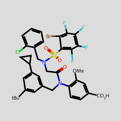 COc1cc(C(=O)O)ccc1N(Cc1cc(C2CC2)cc(C(C)(C)C)c1)C(=O)CN(Cc1ccccc1Cl)S(=O)(=O)c1c(F)c(F)c(F)c(F)c1Br